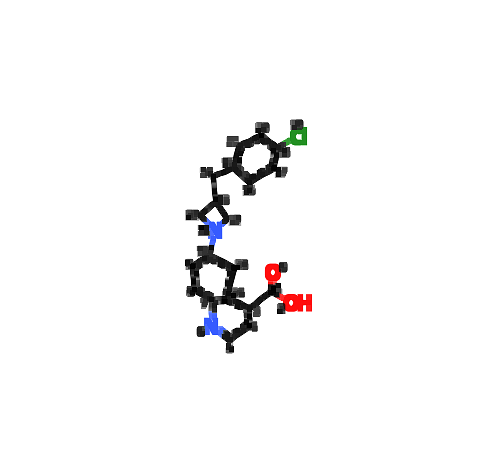 O=C(O)c1ccnc2ccc(N3CC(Cc4ccc(Cl)cc4)C3)cc12